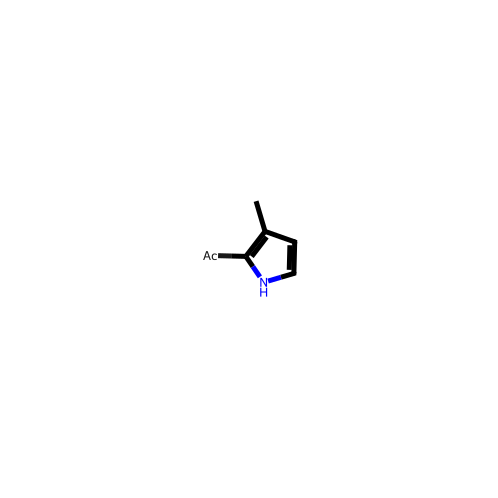 CC(=O)c1[nH]ccc1C